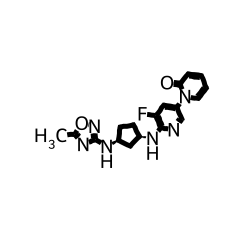 Cc1nc(N[C@H]2CC[C@H](Nc3ncc(-n4ccccc4=O)cc3F)C2)no1